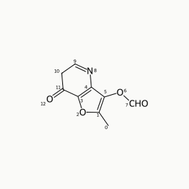 Cc1oc2c(c1OC=O)N=CCC2=O